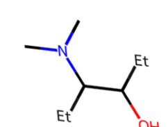 CCC(O)C(CC)N(C)C